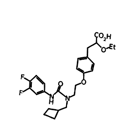 CCOC(Cc1ccc(OCCN(CC2CCC2)C(=O)Nc2ccc(F)c(F)c2)cc1)C(=O)O